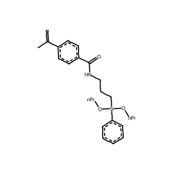 C=C(C)c1ccc(C(=O)NCCC[Si](OCCC)(OCCC)c2ccccc2)cc1